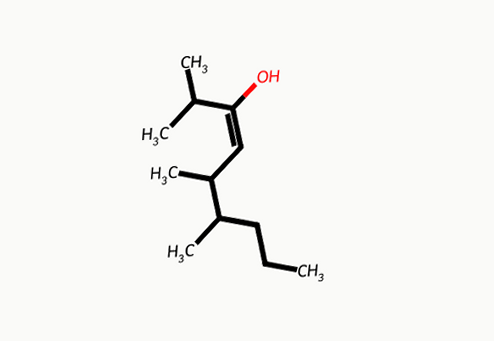 CCCC(C)C(C)/C=C(/O)C(C)C